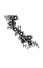 CC(C)(C)OC(=O)N[C@H](C(=O)N1CCC[C@H]1C(=O)Nc1ccc2[nH]c(-c3ccc(NC(=O)[C@@H]4CCCN4C(=O)[C@@H](NC(=O)O)c4ccccc4)cc3)c(F)c2c1)c1ccccc1